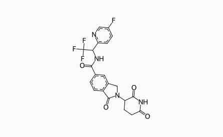 O=C1CCC(N2Cc3cc(C(=O)NC(c4ccc(F)cn4)C(F)(F)F)ccc3C2=O)C(=O)N1